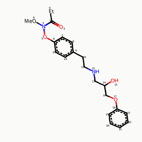 CCC(=O)N(OC)Oc1ccc(CCNCC(O)COc2ccccc2)cc1